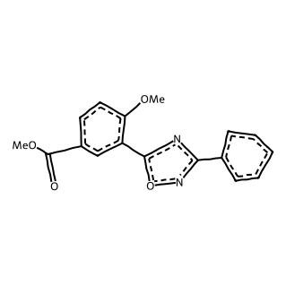 COC(=O)c1ccc(OC)c(-c2nc(-c3ccccc3)no2)c1